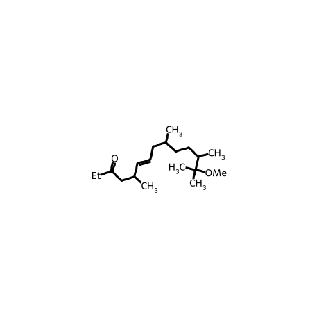 CCC(=O)CC(C)C=CCC(C)CCC(C)C(C)(C)OC